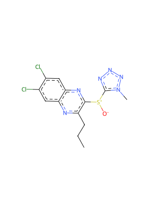 CCCc1nc2cc(Cl)c(Cl)cc2nc1[S+]([O-])c1nnnn1C